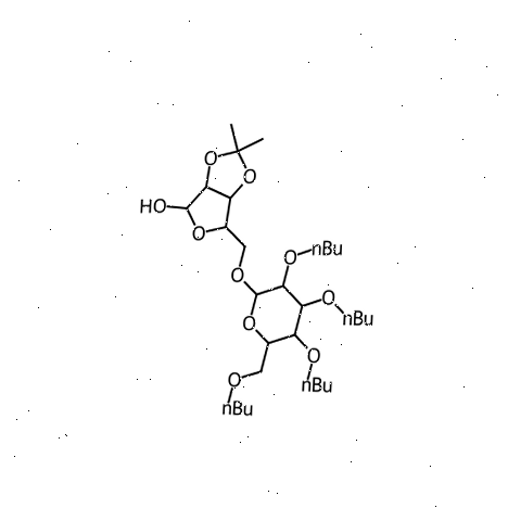 CCCCOCC1OC(OCC2OC(O)C3OC(C)(C)OC23)C(OCCCC)C(OCCCC)C1OCCCC